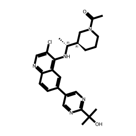 CC(=O)N1CCC[C@@H]([C@@H](C)Nc2c(Cl)cnc3ccc(-c4cnc(C(C)(C)O)nc4)cc23)C1